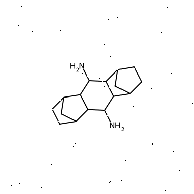 NC1C2C3CCC(C3)C2C(N)C2C3CCC(C3)C12